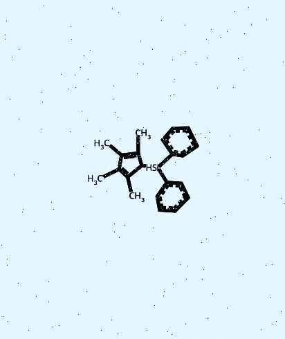 CC1=C(C)C([SiH](c2ccccc2)c2ccccc2)C(C)=C1C